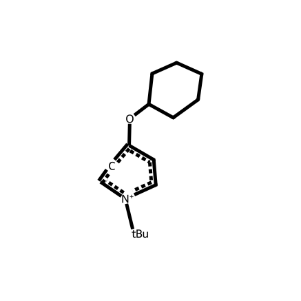 CC(C)(C)[n+]1ccc(OC2CCCCC2)cc1